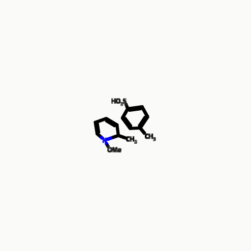 CON1C=CC=CC1C.Cc1ccc(S(=O)(=O)O)cc1